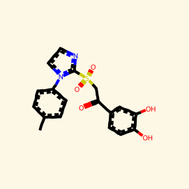 Cc1ccc(-n2ccnc2S(=O)(=O)CC(=O)c2ccc(O)c(O)c2)cc1